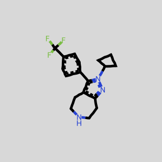 FC(F)(F)c1ccc(-c2c3c(nn2C2CCC2)CCNCC3)cc1